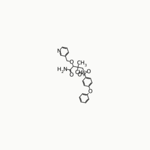 CC(C)(CS(=O)(=O)c1ccc(Oc2ccccc2)cc1)C(OCc1cccnc1)C(N)=O